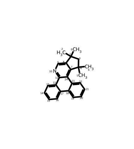 CC1(C)CC(C)(C)c2c1cnc1c3ccccc3c3ccccc3c21